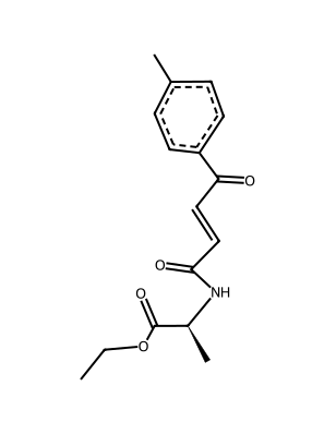 CCOC(=O)[C@H](C)NC(=O)/C=C/C(=O)c1ccc(C)cc1